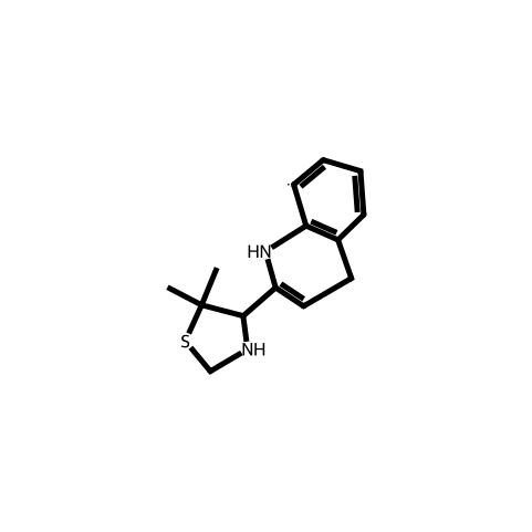 CC1(C)SCNC1C1=CCc2ccc[c]c2N1